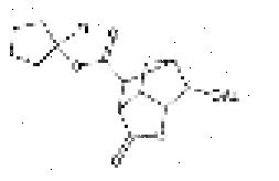 [CH2]C(=O)OC1C2CC3C1OC(=O)C3C2C(=O)OC1(CC)CCCC1